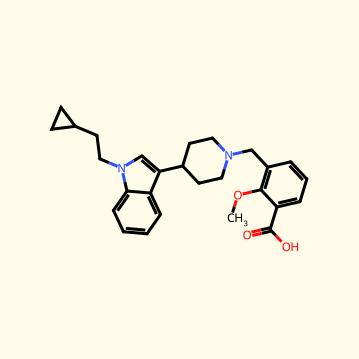 COc1c(CN2CCC(c3cn(CCC4CC4)c4ccccc34)CC2)cccc1C(=O)O